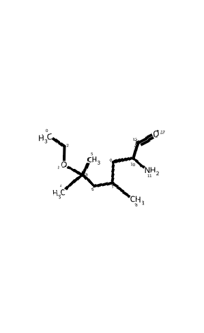 CCOC(C)(C)CC(C)CC(N)C=O